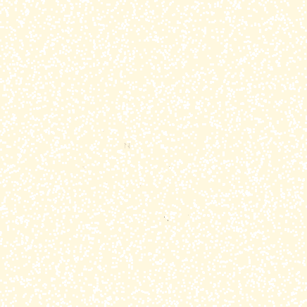 CC1(C)CC(Cc2ccc(Cl)nc2)N=C(c2cnc3c(F)c(F)ccc3c2)S1